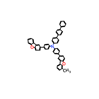 Cc1cccc2c1oc1ccc(-c3ccc(N(c4ccc(-c5ccc(-c6ccccc6)cc5)cc4)c4ccc(-c5ccc6oc7ccccc7c6c5)cc4)cc3)cc12